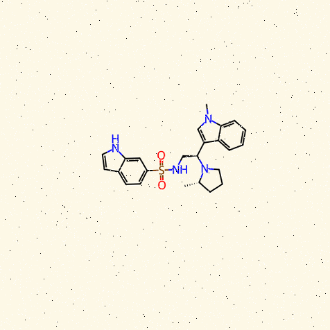 C[C@H]1CCCN1[C@@H](CNS(=O)(=O)c1ccc2cc[nH]c2c1)c1cn(C)c2ccccc12